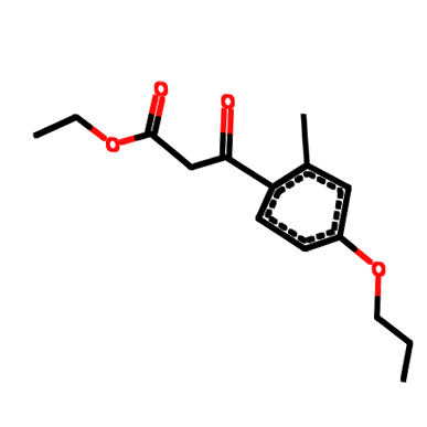 CCCOc1ccc(C(=O)CC(=O)OCC)c(C)c1